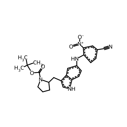 CC(C)(C)OC(=O)N1CCCC1Cc1c[nH]c2ccc(Nc3ccc(C#N)cc3[N+](=O)[O-])cc12